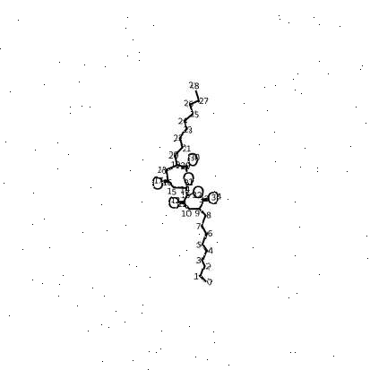 CCCCCCCCCC1CC(=O)[C](C2CC(=O)CC(CCCCCCCCC)C(=O)O2)OC1=O